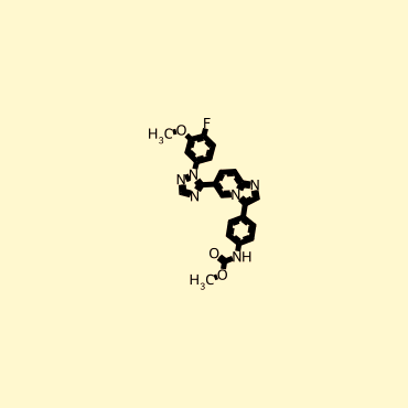 COC(=O)Nc1ccc(-c2cnc3ccc(-c4ncnn4-c4ccc(F)c(OC)c4)cn23)cc1